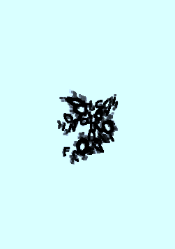 CC1(C)C2[C@@H](C(=O)NC(CC3CCC3)C(=O)C(N)=O)N(C(=O)[C@@H](Nc3nc4cc(C(F)(F)F)ccc4o3)C3CCCCC3)C[C@H]21